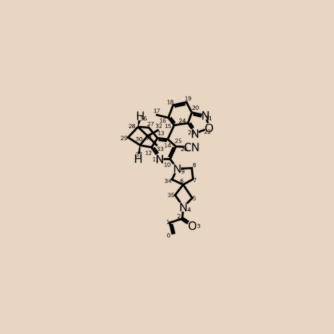 C=CC(=O)N1CC2(CCN(c3nc4c(c(-c5c(C)ccc6nonc56)c3C#N)C[C@H]3C[C@@H]4C3(C)C)C2)C1